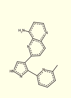 Cc1cccc(-c2n[nH]cc2-c2ccc3nccc(N)c3n2)n1